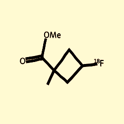 COC(=O)C1(C)CC([18F])C1